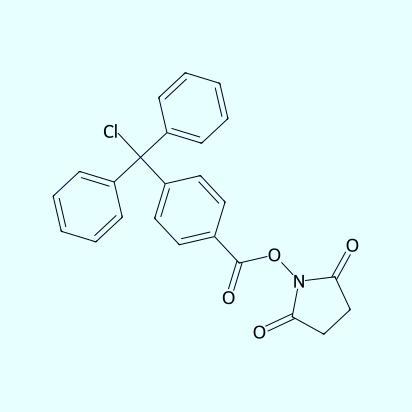 O=C(ON1C(=O)CCC1=O)c1ccc(C(Cl)(c2ccccc2)c2ccccc2)cc1